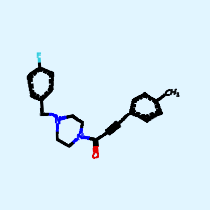 Cc1ccc(C#CC(=O)N2CCN(Cc3ccc(F)cc3)CC2)cc1